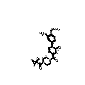 CNCc1ccc(-c2ccc(C(=O)N3CCN(C(=O)C4(O)CC4)CC3)cc2Cl)cc1N